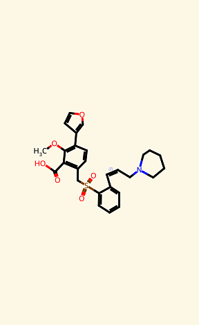 COc1c(-c2ccoc2)ccc(CS(=O)(=O)c2ccccc2/C=C\CN2CCCCC2)c1C(=O)O